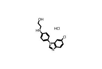 Cl.OCCNc1ccc(-n2cnc3ccc(Cl)cc32)cc1